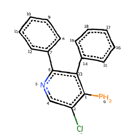 Pc1c(Cl)cnc(-c2ccccc2)c1-c1ccccc1